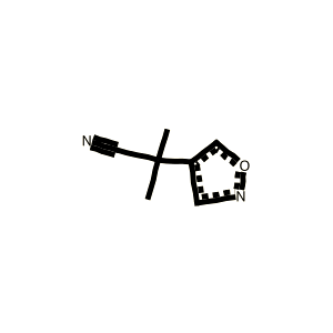 CC(C)(C#N)c1cnoc1